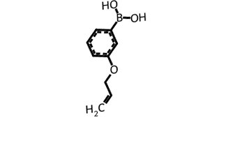 C=CCOc1cccc(B(O)O)c1